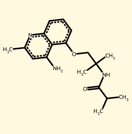 Cc1cc(N)c2c(OCC(C)(C)NC(=O)C(C)C)cccc2n1